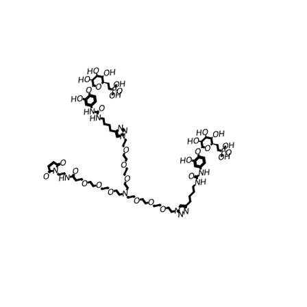 O=C(CCOCCOCCOCCN(CCOCCOCCOCCn1cc(CCCCNC(=O)Nc2ccc(O[C@H]3O[C@H](CCP(=O)(O)O)[C@@H](O)[C@H](O)[C@@H]3O)c(O)c2)nn1)CCOCCOCCOCCn1cc(CCCCNC(=O)Nc2ccc(O[C@H]3O[C@H](CCP(=O)(O)O)[C@@H](O)[C@H](O)[C@@H]3O)c(O)c2)nn1)NCCN1C(=O)C=CC1=O